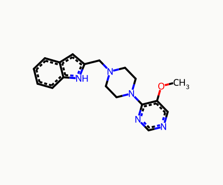 COc1cncnc1N1CCN(Cc2cc3ccccc3[nH]2)CC1